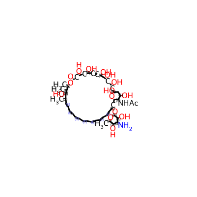 CC(=O)N[C@H]1C2C[C@@H](O[C@@H]3O[C@H](C)[C@@H](O)[C@H](N)[C@@H]3O)/C=C/C=C/C=C/C=C/C=C/C=C/C=C/[C@H](C)[C@@H](O)[C@@H](C)[C@H](C)OC(=O)CC(O)C[C@H](O)CC[C@@H](O)C(O)CC(O)C[C@](O)(C[C@@H]1O)O2